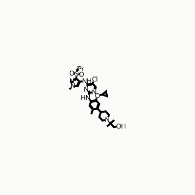 Cc1cc(Nc2ncc(Cl)c(Nc3cn(C)nc3S(=O)(=O)C(C)C)n2)c(OC2CC2)cc1C1CCN(C(C)(C)CO)CC1